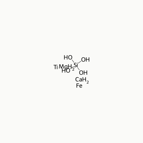 O[Si](O)(O)O.[CaH2].[Fe].[MgH2].[Ti]